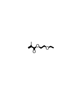 C=C(I)C(=O)OCCOCC